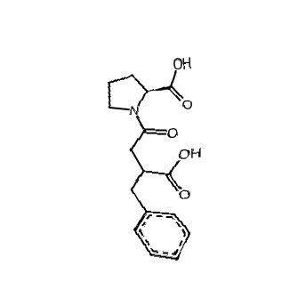 O=C(O)C(CC(=O)N1CCC[C@H]1C(=O)O)Cc1ccccc1